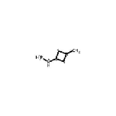 CC1CC(NP)C1